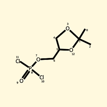 CC1(C)OCC(COP(=O)(Cl)Cl)O1